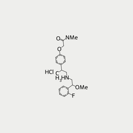 CNC(=O)COc1ccc(C(C)CNCC(OC)c2ccccc2F)cc1.Cl